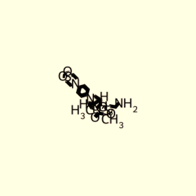 CC(C(=O)N1C[C@@H]2CN(c3ccc(N4CCS(=O)(=O)CC4)cc3)[C@H](C1)C(C)(C)C2)S(=O)(=O)CCN